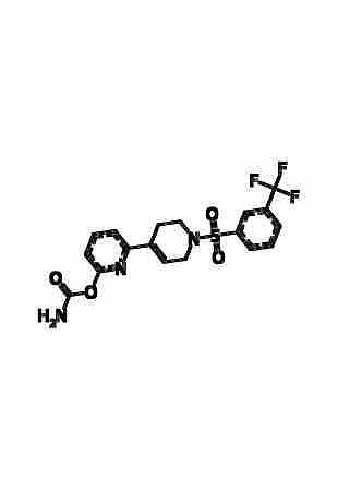 NC(=O)Oc1cccc(C2=CCN(S(=O)(=O)c3cccc(C(F)(F)F)c3)CC2)n1